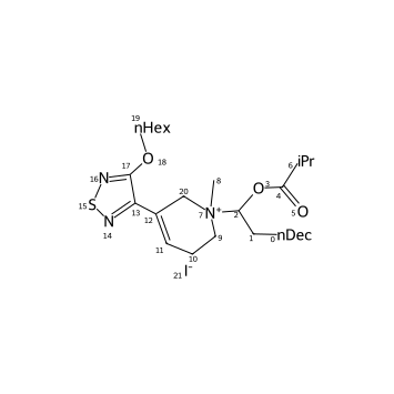 CCCCCCCCCCCC(OC(=O)C(C)C)[N+]1(C)CCC=C(c2nsnc2OCCCCCC)C1.[I-]